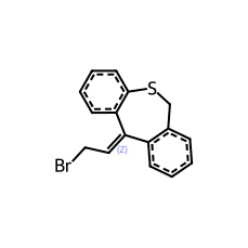 BrC/C=C1/c2ccccc2CSc2ccccc21